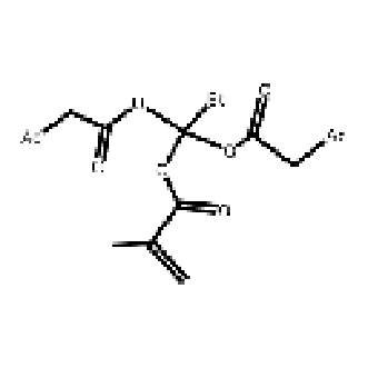 C=C(C)C(=O)OC(CC)(OC(=O)CC(C)=O)OC(=O)CC(C)=O